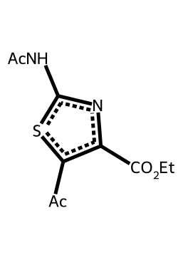 CCOC(=O)c1nc(NC(C)=O)sc1C(C)=O